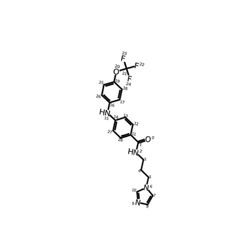 O=C(NCCCn1ccnc1)c1ccc(Nc2ccc(OC(F)(F)F)cc2)cc1